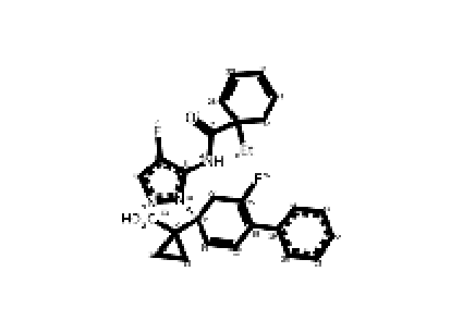 CCC1(C(=O)Nc2c(F)cnn2[C@@]2(C3(C(=O)O)CC3)C=CC(c3ccccc3)=C(F)C2)C=CC=CC1